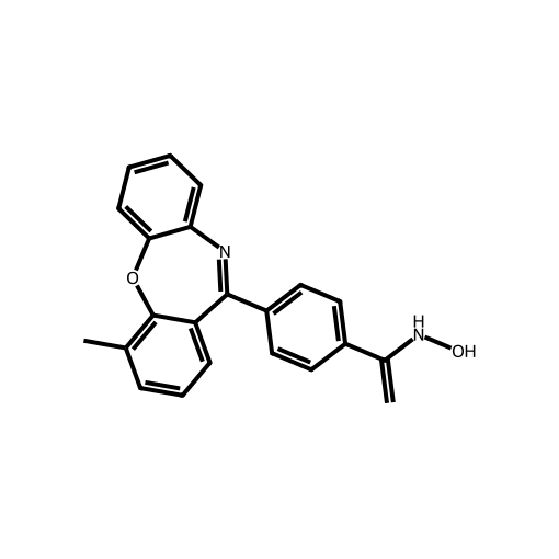 C=C(NO)c1ccc(C2=Nc3ccccc3Oc3c(C)cccc32)cc1